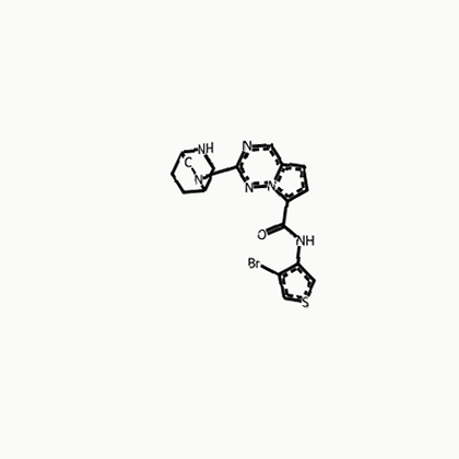 O=C(Nc1cscc1Br)c1ccc2cnc(N3CC4CCC3CN4)nn12